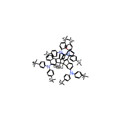 CC(C)(C)C1(C2(C(C)(C)C)c3cc(N(c4ccc([Si](C)(C)C)cc4)c4ccc([Si](C)(C)C)cc4)ccc3-c3c2cc(N(c2ccc([Si](C)(C)C)cc2)c2ccc([Si](C)(C)C)cc2)c2ccccc32)c2cc(N(c3ccc([Si](C)(C)C)cc3)c3ccc([Si](C)(C)C)cc3)ccc2-c2c1cc(N(c1ccc([Si](C)(C)C)cc1)c1ccc([Si](C)(C)C)cc1)c1ccccc21